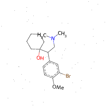 COc1ccc(C(CN(C)C)C2(O)CCCCC2)cc1Br